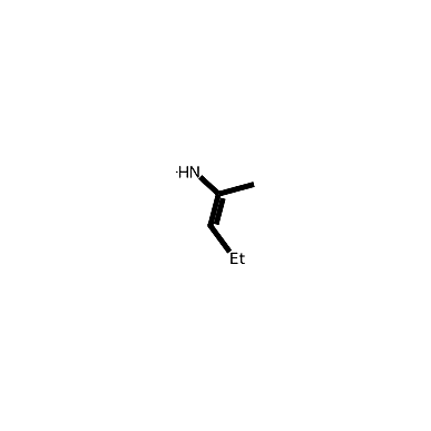 CC/C=C(\C)[NH]